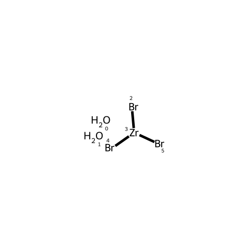 O.O.[Br][Zr]([Br])[Br]